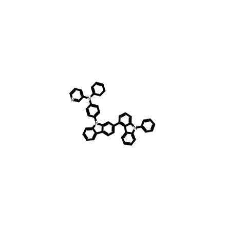 C1=CCCC(N(c2ccc(-n3c4ccccc4c4ccc(-c5cccc6c5c5ccccc5n6-c5ccccc5)cc43)cc2)c2cccnc2)=C1